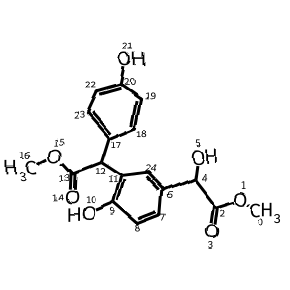 COC(=O)C(O)c1ccc(O)c(C(C(=O)OC)c2ccc(O)cc2)c1